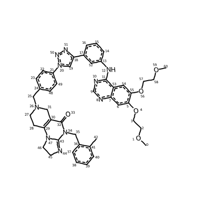 COCCOc1cc2ncnc(Nc3cccc(-c4cn(-c5ccc(CN6CCC7=C(C6)C(=O)N(Cc6ccccc6C)C6=NCCN67)cc5)nn4)c3)c2cc1OCCOC